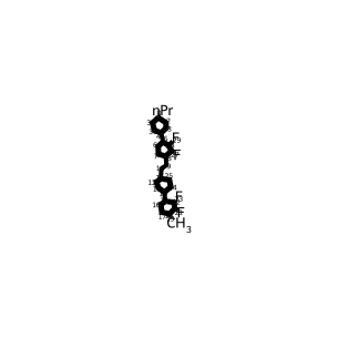 CCCc1ccc(-c2ccc(CCc3ccc(-c4ccc(C)c(F)c4F)cc3)c(F)c2F)cc1